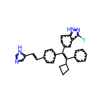 Fc1n[nH]c2ccc(C(=C(c3ccccc3)C3CCC3)c3ccc(C=Cc4cnc[nH]4)cc3)cc12